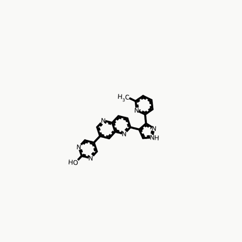 Cc1cccc(-c2n[nH]cc2-c2ccc3ncc(-c4cnc(O)nc4)cc3n2)n1